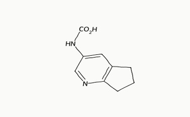 O=C(O)Nc1cnc2c(c1)CCC2